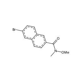 CON(C)C(=O)c1ccc2cc(Br)ccc2c1